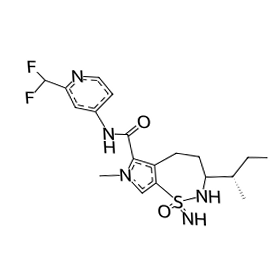 CC[C@H](C)C1CCc2c(cn(C)c2C(=O)Nc2ccnc(C(F)F)c2)S(=N)(=O)N1